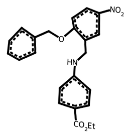 CCOC(=O)c1ccc(NCc2cc([N+](=O)[O-])ccc2OCc2ccccc2)cc1